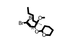 CCCC[C@@](C)(OC)[C@@H](C=C(Br)Br)OC1CCCCO1